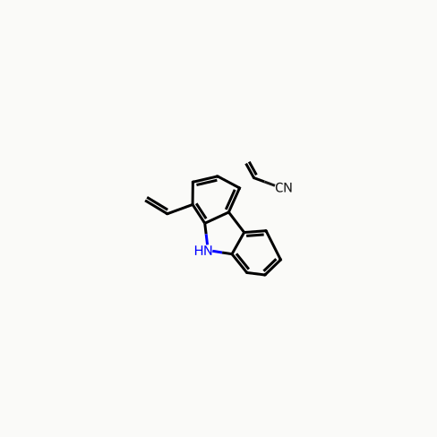 C=CC#N.C=Cc1cccc2c1[nH]c1ccccc12